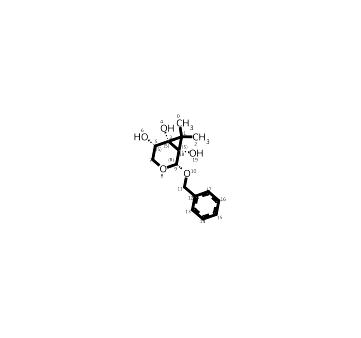 CC1(C)[C@]2(O)[C@@H](O)CO[C@@H](OCc3ccccc3)[C@]12O